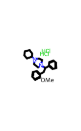 COc1ccccc1CC(c1ccccc1)N1CCN(C2CCCCC2)CC1.Cl.Cl